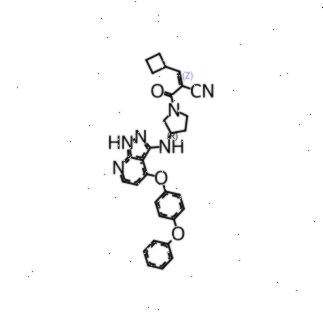 N#C/C(=C/C1CCC1)C(=O)N1CC[C@@H](Nc2n[nH]c3nccc(Oc4ccc(Oc5ccccc5)cc4)c23)C1